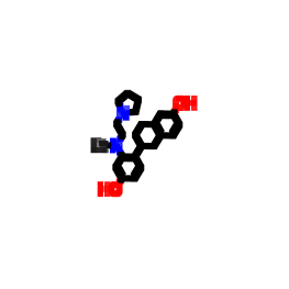 CCN(CCN1CCCC1)c1cc(O)ccc1C1CCc2cc(O)ccc2C1